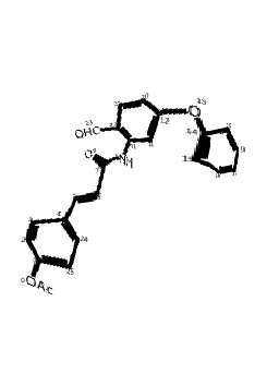 CC(=O)Oc1ccc(/C=C/C(=O)Nc2cc(Oc3ccccc3)ccc2C=O)cc1